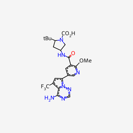 COc1ncc(-c2cc(C(F)(F)F)c3c(N)ncnn23)cc1C(=O)NC1CC(C(C)(C)C)N(C(=O)O)C1